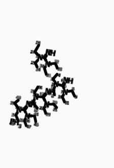 CCN(CC)C(=N)N(CC)CC.CCN(CC)C(=N)N(CC)CC.CCN(CC)C(=N)N(CC)CC.CCN(CC)C(=N)N(CC)CC.P